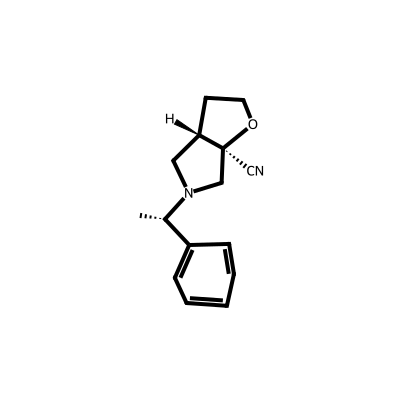 C[C@@H](c1ccccc1)N1C[C@@H]2CCO[C@@]2(C#N)C1